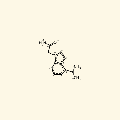 CC(C)c1ccnc2c1ccn2CC(N)=O